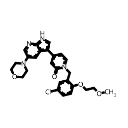 COCCOc1ccc(Cl)cc1Cn1ccc(-c2c[nH]c3ncc(N4CCOCC4)cc23)cc1=O